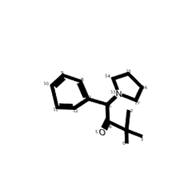 CC(C)(C)C(=O)C(c1ccccc1)N1CCCC1